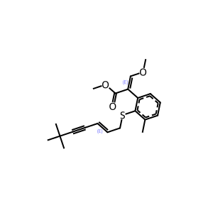 CO/C=C(/C(=O)OC)c1cccc(C)c1SC/C=C/C#CC(C)(C)C